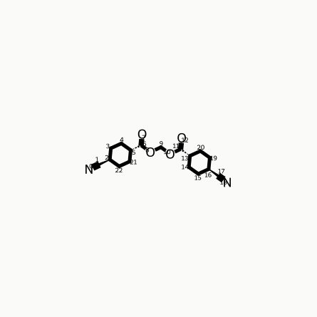 N#C[C@H]1CC[C@H](C(=O)OCOC(=O)[C@H]2CC[C@H](C#N)CC2)CC1